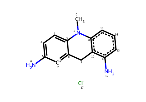 CN1C2=CC=C(N)[C+]=C2Cc2c(N)cccc21.[Cl-]